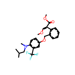 CO/C=C(/C(=O)OC)c1ccccc1COc1ccc(N(C)CC(C)C)c(C(F)(F)F)c1